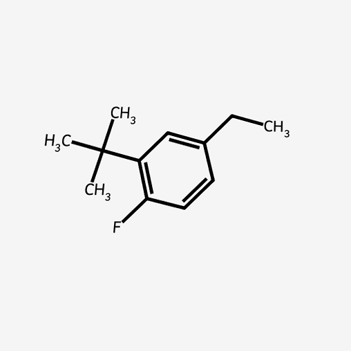 CCc1ccc(F)c(C(C)(C)C)c1